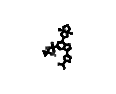 CC1(NS(=O)(=O)c2cc(N3C[C@@H]4COC[C@H]4C3)c3ncc(-c4nnc(C(F)F)s4)n3c2)CC1